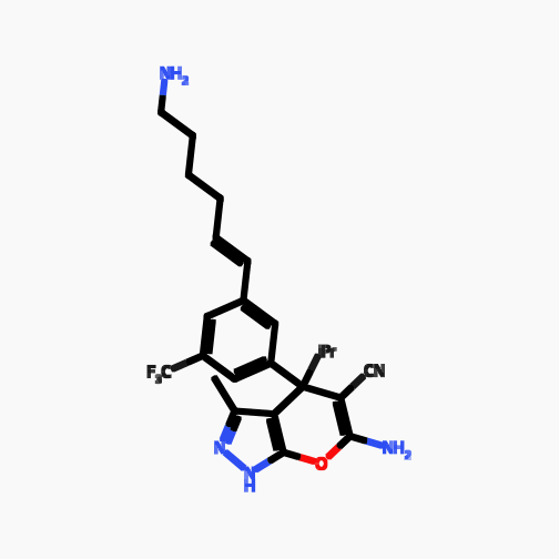 Cc1n[nH]c2c1C(c1cc(/C=C/CCCCN)cc(C(F)(F)F)c1)(C(C)C)C(C#N)=C(N)O2